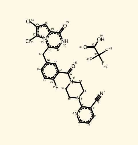 N#Cc1cccnc1N1CCN(C(=O)c2cc(Cc3c[nH]c(=O)c4cc(Cl)c(Cl)n34)ccc2F)CC1.O=C(O)C(F)(F)F